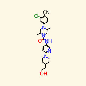 CC1CN(c2ccc(C#N)c(Cl)c2)C(C)CN1C(=O)Nc1ccc(N2CCC(CCO)CC2)nc1